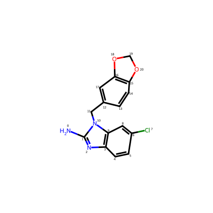 Nc1nc2ccc(Cl)cc2n1Cc1ccc2c(c1)OCO2